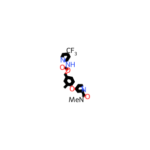 CNC(=O)c1cc(Oc2ccc(COC(=O)Nc3cc(C(F)(F)F)ccn3)cc2C)ccn1